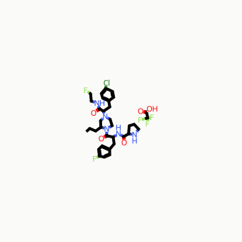 CCCC1CN(C(Cc2ccc(Cl)cc2)C(=O)NCCF)CCN1C(=O)C(Cc1ccc(F)cc1)NC(=O)C1CCCN1.O=C(O)C(F)(F)F